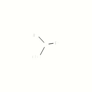 CCCC[Si](C(C)C)C(C)C